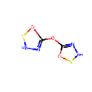 N1=C(OC2=NNSO2)OSN1